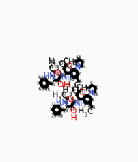 CCc1cc2c(c(N3CCCC3)c1)OC(C)(C)C[C@@H]2NC[C@@H](O)[C@H](Cc1ccccc1)NC(C)=O.CCc1cc2c(c(N3CCCC3)c1)OC(C)(C)C[C@H]2NC[C@@H](O)[C@H](Cc1ccccc1)NC(C)=O